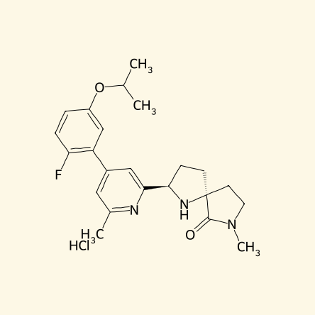 Cc1cc(-c2cc(OC(C)C)ccc2F)cc([C@H]2CC[C@@]3(CCN(C)C3=O)N2)n1.Cl